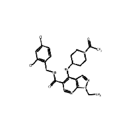 CCn1ncc2c(NC3CCN(C(C)=O)CC3)c(C(=O)NCc3ccc(Cl)cc3Cl)cnc21